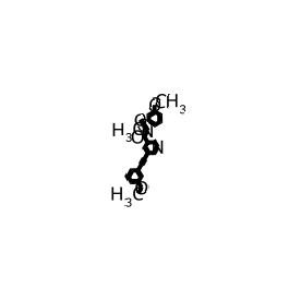 COc1cccc(C#Cc2cncc(C(=O)N=S(C)(=O)c3cccc(OC)c3)c2)c1